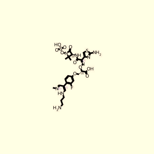 C/N=C/C(=C\NCCCN)c1ccc(OC[C@H](O/N=C(\C(=O)N[C@@H]2C(=O)N(OS(=O)(=O)O)C2(C)C)c2csc(N)n2)C(=O)O)cc1F